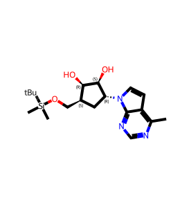 Cc1ncnc2c1ccn2[C@@H]1C[C@@H](CO[Si](C)(C)C(C)(C)C)[C@@H](O)[C@H]1O